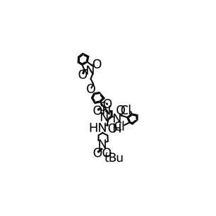 CC(C)(C)OC(=O)N1CCC(NC(=O)c2nn(S(=O)(=O)c3ccc(OCCCN4C(=O)c5ccccc5C4=O)cc3)cc2NC(=O)c2c(Cl)cccc2Cl)CC1